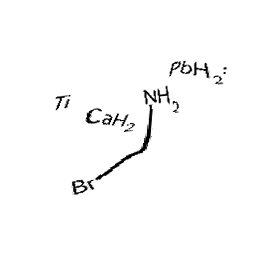 NCBr.[CaH2].[PbH2].[Ti]